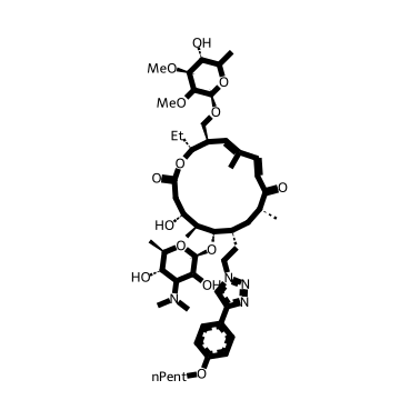 CCCCCOc1ccc(-c2cn(CC[C@H]3C[C@@H](C)C(=O)/C=C/C(C)=C/[C@H](CO[C@@H]4OC(C)[C@@H](O)[C@H](OC)C4OC)[C@@H](CC)OC(=O)C[C@@H](O)[C@H](C)[C@H]3O[C@@H]3O[C@H](C)[C@@H](O)C(N(C)C)C3O)nn2)cc1